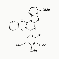 COc1cc(-c2nc3sc4c(OC)cccc4c3c(=O)n2Cc2ccccc2)c(Br)c(OC)c1OC